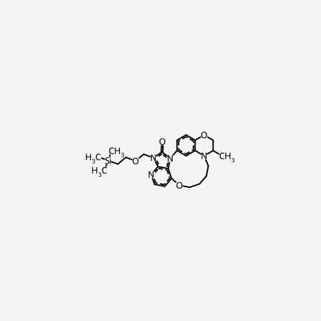 CC1COc2ccc3cc2N1CCCCOc1ccnc2c1n-3c(=O)n2COCC[Si](C)(C)C